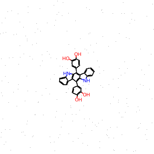 Oc1ccc(-c2c3[nH]c4ccccc4c3c(-c3ccc(O)c(O)c3)c3[nH]c4ccccc4c23)cc1O